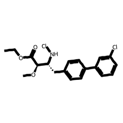 CCOC(=O)[C@H](OC)[C@@H](Cc1ccc(-c2cccc(Cl)c2)cc1)NCl